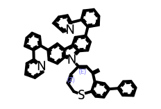 C=C1/C=C(n2c3ccc(-c4ccccc4-c4ccccn4)cc3c3cc(-c4ccccc4-c4ccccn4)ccc32)\C=C/CSc2ccc(-c3ccccc3)cc21